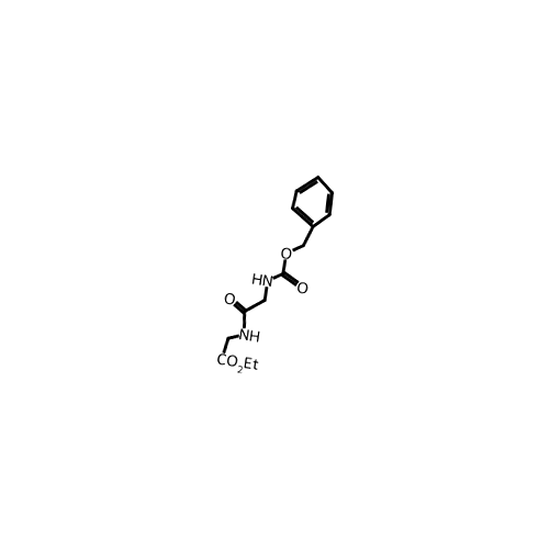 CCOC(=O)CNC(=O)CNC(=O)OCc1ccccc1